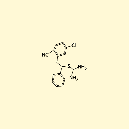 N#Cc1ccc(Cl)cc1CC(SC(N)N)c1ccccc1